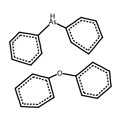 c1ccc(Oc2ccccc2)cc1.c1ccc([AsH]c2ccccc2)cc1